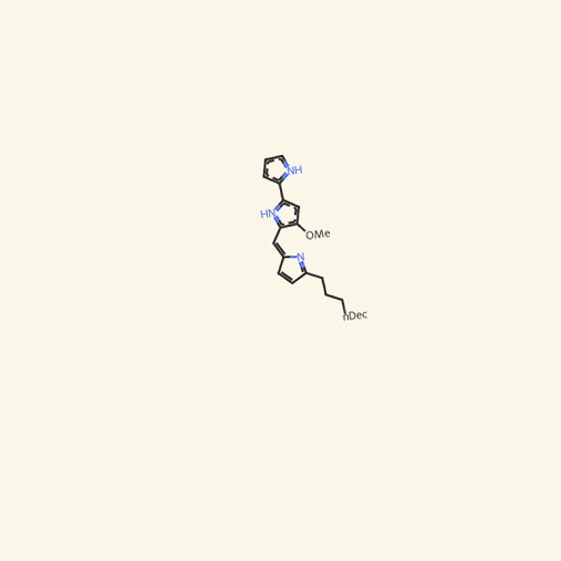 CCCCCCCCCCCCCC1=NC(=Cc2[nH]c(-c3ccc[nH]3)cc2OC)C=C1